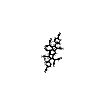 N#CC(C#N)=C1C(c2ccc(C#N)nc2F)=C(C#N)c2c1cc1c(c2C#N)C(=C(C#N)C#N)C(c2ccc(C#N)nc2F)=C1C#N